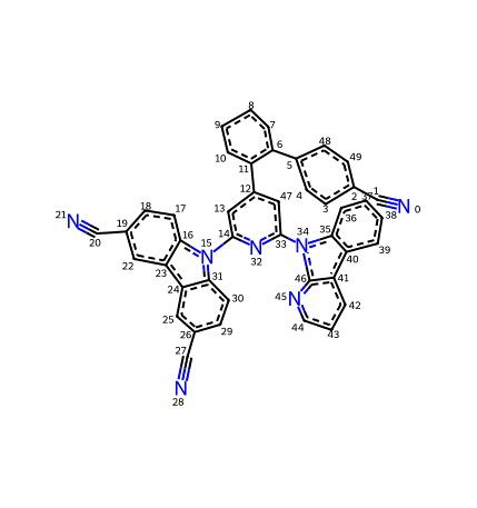 N#Cc1ccc(-c2ccccc2-c2cc(-n3c4ccc(C#N)cc4c4cc(C#N)ccc43)nc(-n3c4ccccc4c4cccnc43)c2)cc1